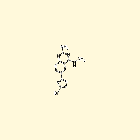 NNc1nc(N)nc2ccc(-c3ccc(Br)s3)cc12